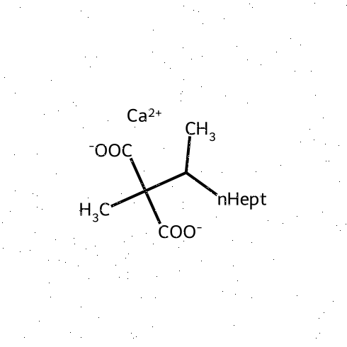 CCCCCCCC(C)C(C)(C(=O)[O-])C(=O)[O-].[Ca+2]